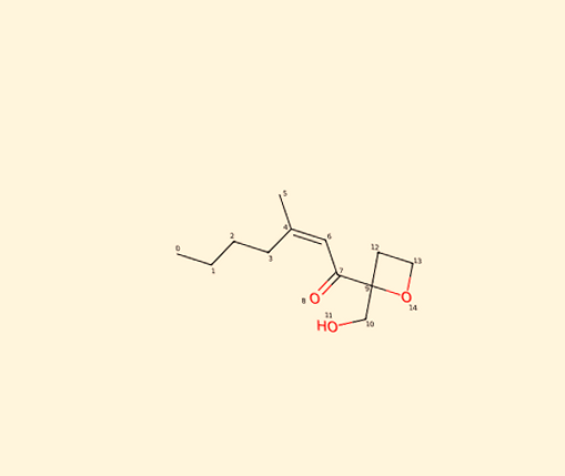 CCCCC(C)=CC(=O)C1(CO)CCO1